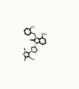 COc1cccc2c1n(Cc1ccccc1C(F)(F)F)c(=O)n2[C@@H]1CCN(c2c(C#N)c(C)nn2C)C1